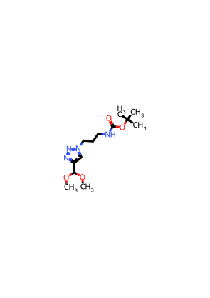 COC(OC)c1cn(CCCNC(=O)OC(C)(C)C)nn1